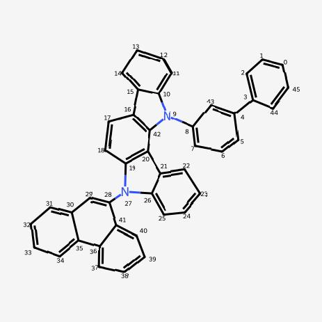 c1ccc(-c2cccc(-n3c4ccccc4c4ccc5c(c6ccccc6n5-c5cc6ccccc6c6ccccc56)c43)c2)cc1